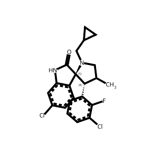 CC1CN(CC2CC2)[C@@]2(C(=O)Nc3cc(Cl)ccc32)[C@H]1c1cccc(Cl)c1F